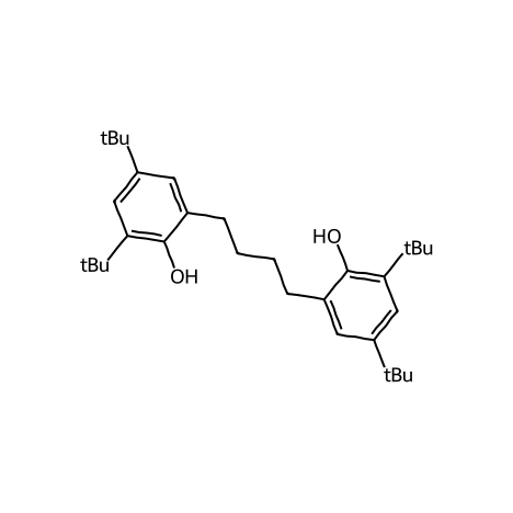 CC(C)(C)c1cc(CCCCc2cc(C(C)(C)C)cc(C(C)(C)C)c2O)c(O)c(C(C)(C)C)c1